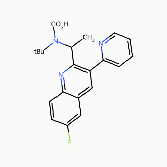 CC(c1nc2ccc(F)cc2cc1-c1ccccn1)N(C(=O)O)C(C)(C)C